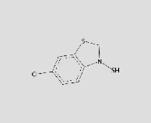 SN1CSc2cc(Cl)ccc21